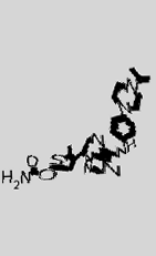 Cc1sc(OC(N)=O)cc1-c1cnc(Nc2ccc(N3CCN(C(C)C)CC3)cc2)c2ncnn12